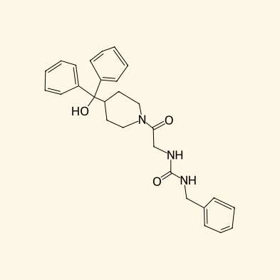 O=C(NCC(=O)N1CCC(C(O)(c2ccccc2)c2ccccc2)CC1)NCc1ccccc1